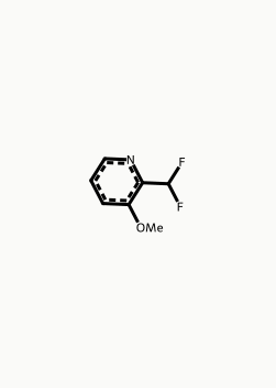 COc1cccnc1C(F)F